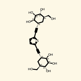 OC[C@H]1C[C@H](C#Cc2ccc(C#C[C@H]3C[C@H](CO)[C@@H](O)[C@H](O)[C@@H]3O)s2)[C@@H](O)[C@@H](O)[C@@H]1O